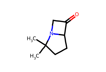 CC1(C)CCC2C(=O)CN21